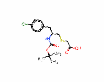 CC(C)(C)OC(=O)N[C@H](CSCC(=O)O)Cc1ccc(Cl)cc1